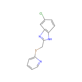 Clc1ccc2[nH]c(CSc3ccccn3)nc2c1